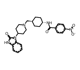 O=C(N[C@H]1CC[C@H](CN2CCC(n3c(=O)[nH]c4ccccc43)CC2)CC1)c1ccc([N+](=O)[O-])cc1